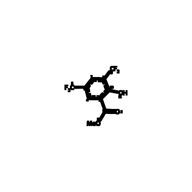 COC(=O)c1cc(C(F)(F)F)cc(C(F)(F)F)c1O